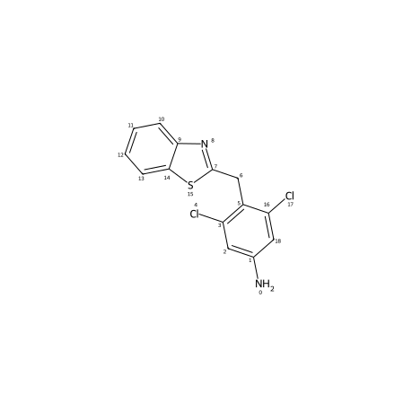 Nc1cc(Cl)c(Cc2nc3ccccc3s2)c(Cl)c1